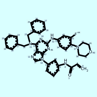 C=CC(=O)Nc1cccc(-n2cnc3c(N(Cc4ccccc4)Cc4ccccc4)nc(Nc4ccc(N5CCOCC5)c(F)c4)nc32)c1